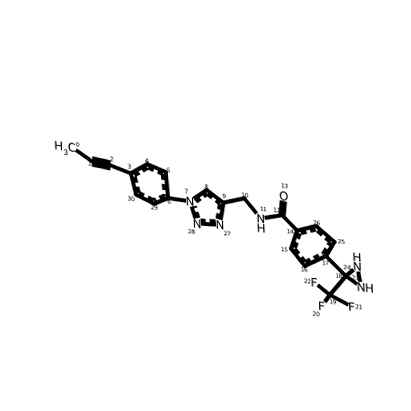 CC#Cc1ccc(-n2cc(CNC(=O)c3ccc(C4(C(F)(F)F)NN4)cc3)nn2)cc1